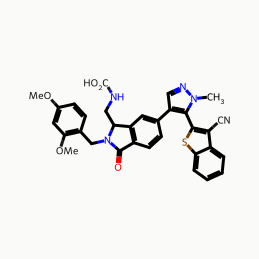 COc1ccc(CN2C(=O)c3ccc(-c4cnn(C)c4-c4sc5ccccc5c4C#N)cc3C2CNC(=O)O)c(OC)c1